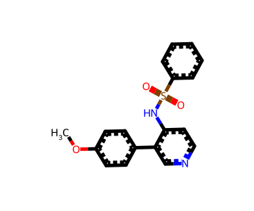 COc1ccc(-c2cnccc2NS(=O)(=O)c2ccccc2)cc1